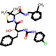 Cc1ccccc1CNC(=O)[C@H]1N(C(=O)[C@@H](O)[C@H](Cc2ccccc2)NC(=O)Nc2ccc(Cl)cc2)CSC1(C)C